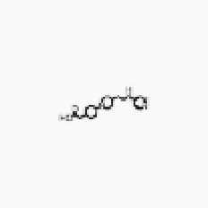 O=C(O)CC1CCC(N2CCC(CCNc3ccnnc3)CC2)CC1